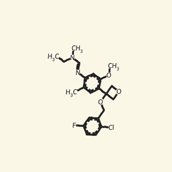 CCN(C)C=Nc1cc(OC)c(C2(OCc3cc(F)ccc3Cl)COC2)cc1C